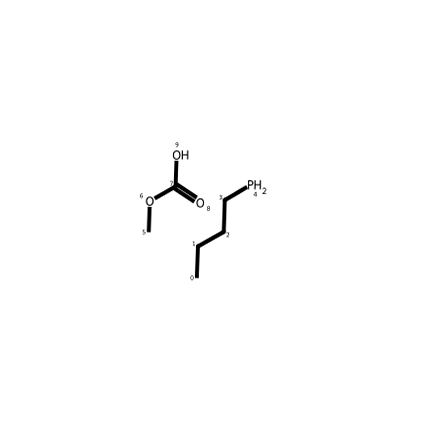 CCCCP.COC(=O)O